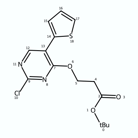 CC(C)(C)OC(=O)CCOc1nc(Cl)ncc1-c1cccs1